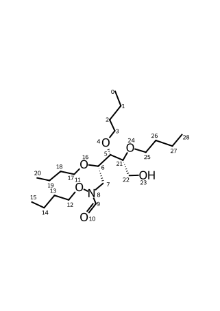 CCCCO[C@@H]([C@H](CN(C=O)OCCCC)OCCCC)[C@@H](CO)OCCCC